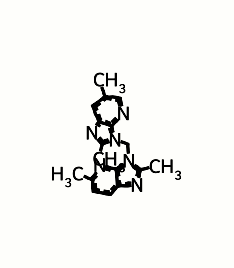 Cc1cnc2c(c1)nc(C)n2Cn1c(C)nc2ccc(C)nc21